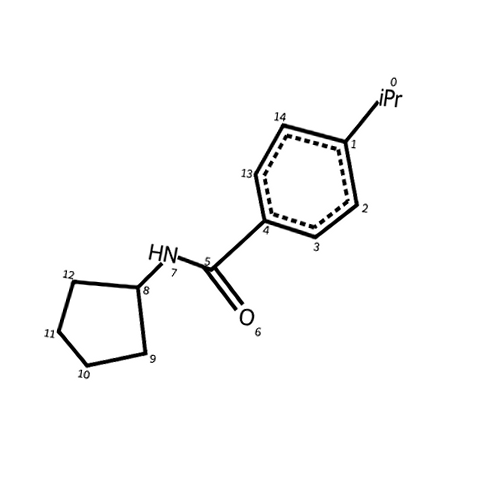 CC(C)c1ccc(C(=O)NC2CCCC2)cc1